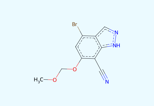 COCOc1cc(Br)c2cn[nH]c2c1C#N